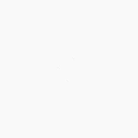 Cc1cnc(NC=O)c(N(C)C)c1